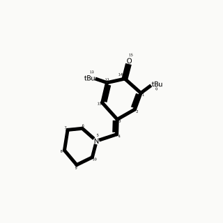 CC(C)(C)C1=CC(=CN2CCCCC2)C=C(C(C)(C)C)C1=O